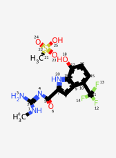 CNC(N)=NC(=O)c1cc2c(C(F)(F)F)ccc(O)c2[nH]1.CS(=O)(=O)O